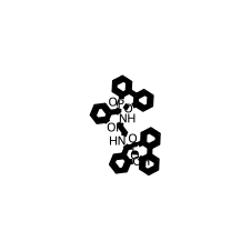 O=P1(C(NCCNC(c2ccccc2O)P2(=O)Oc3ccccc3-c3ccccc32)c2ccccc2O)Oc2ccccc2-c2ccccc21